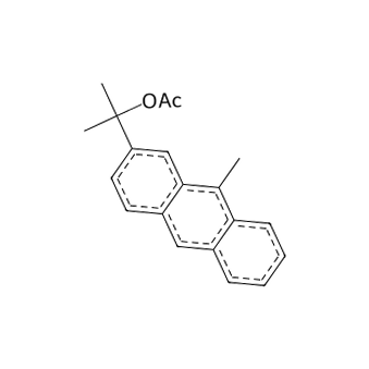 CC(=O)OC(C)(C)c1ccc2cc3ccccc3c(C)c2c1